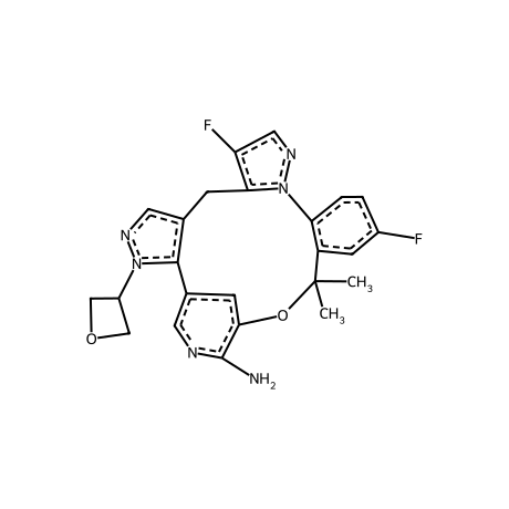 CC1(C)Oc2cc(cnc2N)-c2c(cnn2C2COC2)Cc2c(F)cnn2-c2ccc(F)cc21